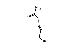 NC(=S)NC=CCS